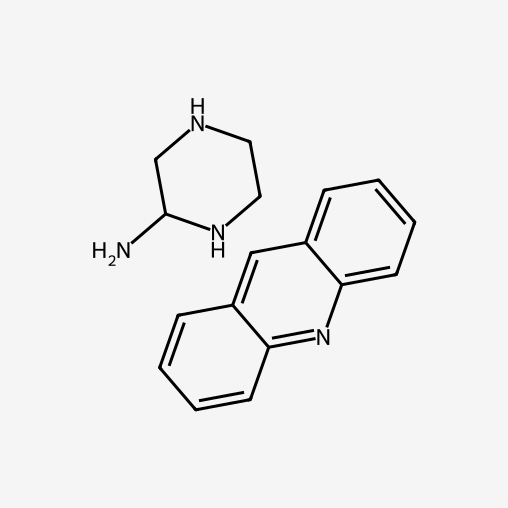 NC1CNCCN1.c1ccc2nc3ccccc3cc2c1